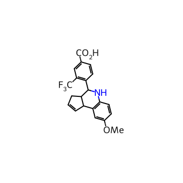 COc1ccc2c(c1)C1C=CCC1C(c1ccc(C(=O)O)cc1C(F)(F)F)N2